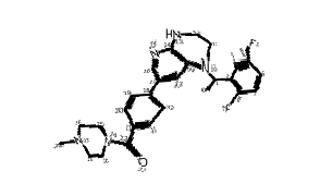 CC(c1cc(F)ccc1F)N1CCNc2ncc(-c3ccc(C(=O)N4CCN(C)CC4)cc3)cc21